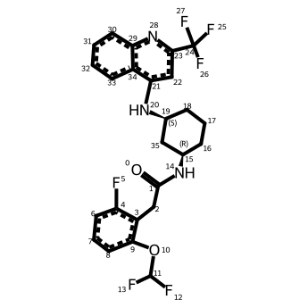 O=C(Cc1c(F)cccc1OC(F)F)N[C@@H]1CCC[C@H](Nc2cc(C(F)(F)F)nc3ccccc23)C1